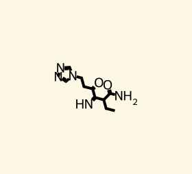 CCC(C(=N)C(=O)CCn1cnnc1)C(N)=O